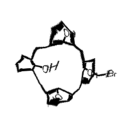 Oc1c2cccc1Cc1cccc(c1O)Cc1cc(Br)cc(c1O)Cc1cccc(c1O)C2